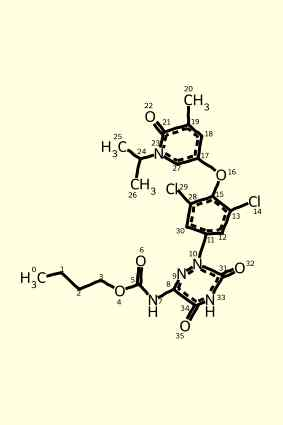 CCCCOC(=O)Nc1nn(-c2cc(Cl)c(Oc3cc(C)c(=O)n(C(C)C)c3)c(Cl)c2)c(=O)[nH]c1=O